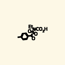 CCN(C(=O)O)S(=O)(=O)C(=O)c1ccc(C)cc1